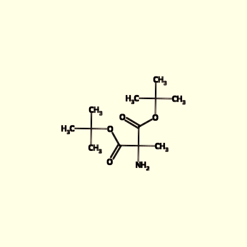 CC(C)(C)OC(=O)C(C)(N)C(=O)OC(C)(C)C